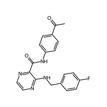 CC(=O)c1ccc(NC(=O)c2nccnc2NCc2ccc(F)cc2)cc1